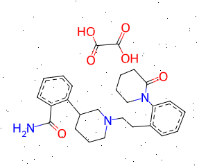 NC(=O)c1ccccc1C1CCCN(CCc2ccccc2N2CCCCC2=O)C1.O=C(O)C(=O)O